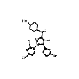 CCc1c(C(=O)N2CCC(O)CC2)nn(-c2ccc(Cl)cc2Cl)c1-c1ccc(Br)s1